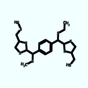 CCSC(c1ccc(C(SC)C2SCC(CSS)S2)cc1)C1SCC(CS)S1